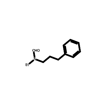 CCN(C=O)CCCc1ccccc1